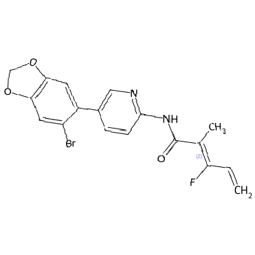 C=C/C(F)=C(\C)C(=O)Nc1ccc(-c2cc3c(cc2Br)OCO3)cn1